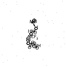 Cc1ccc(C(=O)Nc2ccc(N3CCN(Cc4ccc5c(c4F)C(=O)N(C4CCC(=O)NC4=O)C5=O)CC3)c(C(F)(F)F)c2)cc1C#Cc1cnc2cccnn12